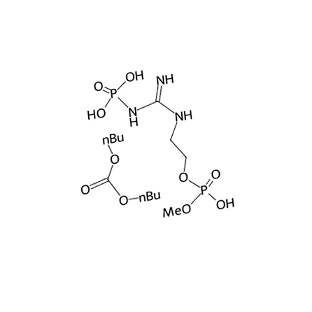 CCCCOC(=O)OCCCC.COP(=O)(O)OCCNC(=N)NP(=O)(O)O